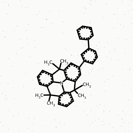 CC1(C)c2cccc3c2N2c4c1cccc4C(C)(C)c1cc(-c4cccc(-c5ccccc5)c4)cc(c12)C3(C)C